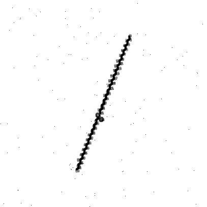 CCCCCCCCCCCCCCCCCCCCCCCCCCCCCCCCOC(=O)CCCCCCCCCCCCCCCCCCCCC